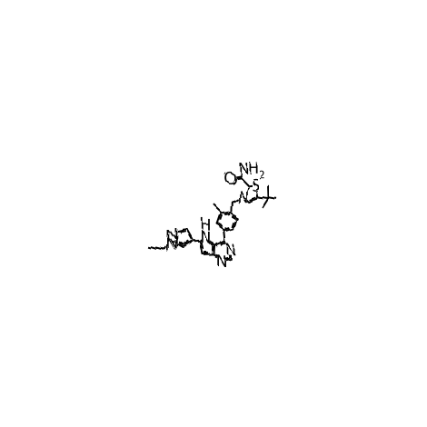 CCn1cc(-c2cc3ncnc(-c4ccc(CN5C=C(C(C)(C)C)SC5C(N)=O)c(C)c4)c3[nH]2)cn1